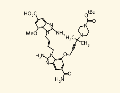 COc1cc(C(=O)O)cc2nc(N)n(CC=CCn3c(N)nc4cc(C(N)=O)cc(OCC#CC(C)(C)N5CCN(C(=O)OC(C)(C)C)CC5)c43)c12